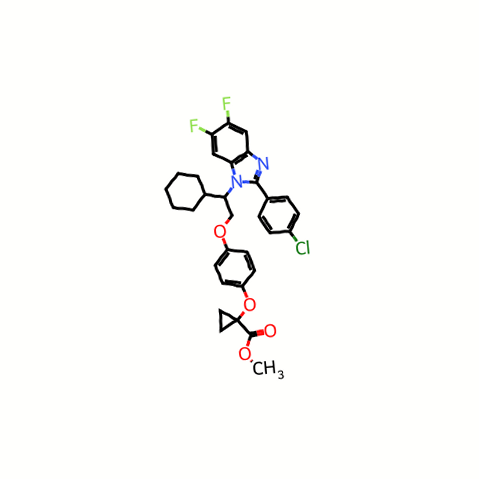 COC(=O)C1(Oc2ccc(OCC(C3CCCCC3)n3c(-c4ccc(Cl)cc4)nc4cc(F)c(F)cc43)cc2)CC1